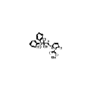 CC(C)(C)OC(=O)N1C(=O)C=C[C@H]1CCC(C)(C)[Si](O)(c1ccccc1)c1ccccc1